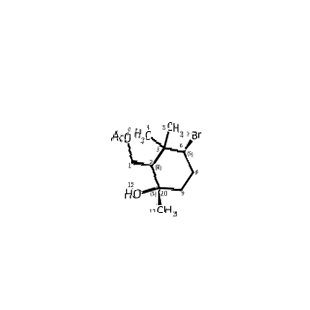 CC(=O)OC[C@H]1C(C)(C)[C@@H](Br)CC[C@]1(C)O